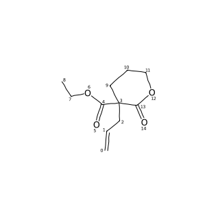 C=CCC1(C(=O)OCC)CCCOC1=O